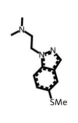 CSc1ccc2c(cnn2CCN(C)C)c1